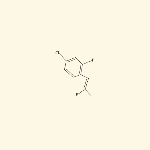 FC(F)=Cc1ccc(Cl)cc1F